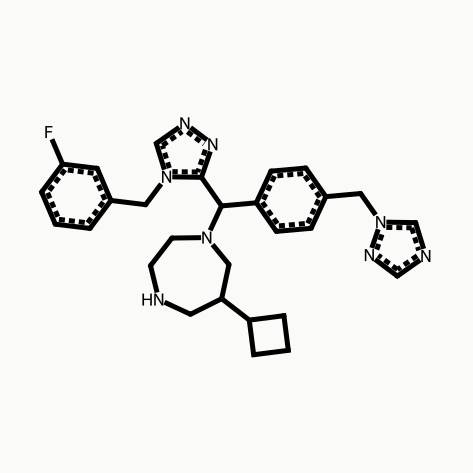 Fc1cccc(Cn2cnnc2C(c2ccc(Cn3cncn3)cc2)N2CCNCC(C3CCC3)C2)c1